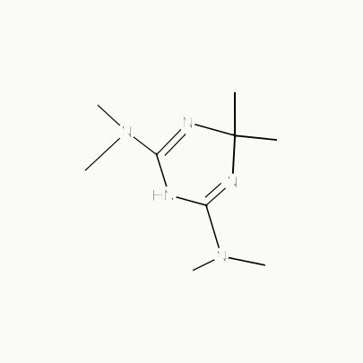 CN(C)C1=NC(C)(C)N=C(N(C)C)N1